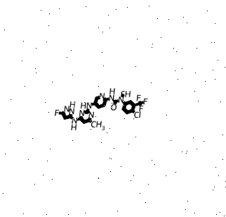 Cc1cc(Nc2cc(F)n[nH]2)nc(Nc2ccc(NC(=O)N(S)c3ccc(Cl)c(C(F)(F)F)c3)nc2)n1